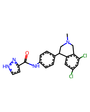 CN1Cc2c(Cl)cc(Cl)cc2C(c2ccc(NC(=O)c3cc[nH]n3)cc2)C1